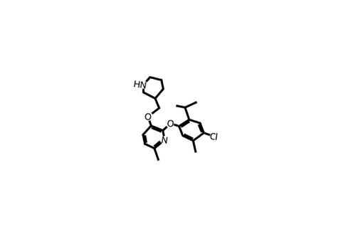 Cc1ccc(OCC2CCCNC2)c(Oc2cc(C)c(Cl)cc2C(C)C)n1